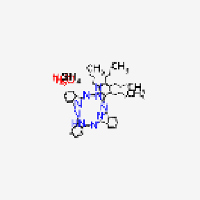 CCCCc1c(CCCC)c(CCCC)c2c3nc4nc(nc5[nH]c(nc6nc(nc([nH]3)c2c1CCCC)-c1ccccc1-6)c1ccccc51)-c1ccccc1-4.O.O.[SiH4]